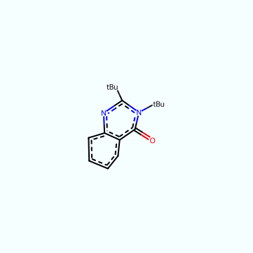 CC(C)(C)c1nc2ccccc2c(=O)n1C(C)(C)C